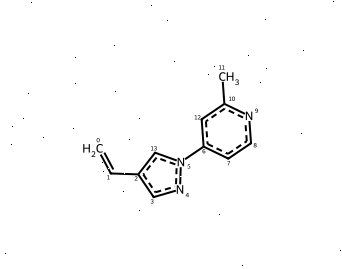 C=Cc1cnn(-c2ccnc(C)c2)c1